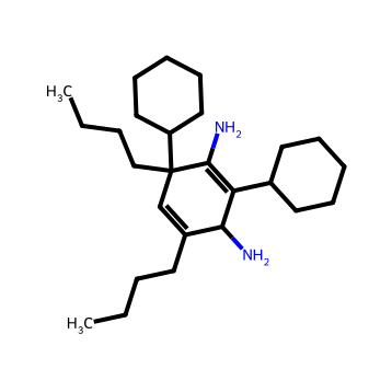 CCCCC1=CC(CCCC)(C2CCCCC2)C(N)=C(C2CCCCC2)C1N